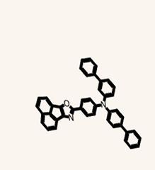 c1ccc(-c2ccc(N(c3ccc(-c4nc5c(o4)-c4cccc6cccc-5c46)cc3)c3cccc(-c4ccccc4)c3)cc2)cc1